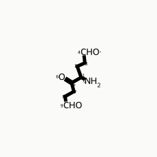 NC(CC[C]=O)C(=O)CCC=O